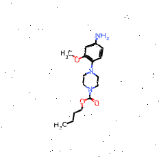 CCCCOC(=O)N1CCN(c2ccc(N)cc2OC)CC1